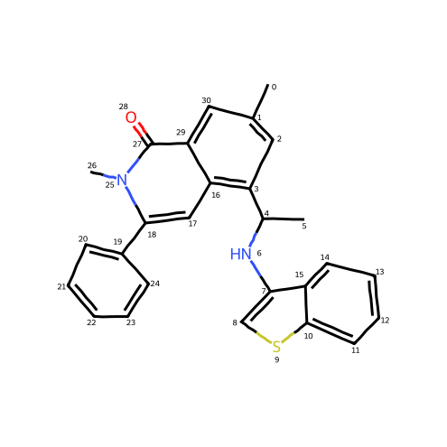 Cc1cc(C(C)Nc2csc3ccccc23)c2cc(-c3ccccc3)n(C)c(=O)c2c1